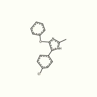 Cc1nc(Oc2ccccc2)c(-c2ccc(Cl)cc2)[nH]1